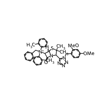 COc1ccc(Cn2nnnc2C2N3C(=O)C([N+](Cc4ccccc4)(c4ccccc4C)c4ccccc4C)[C@@H]3SC2(C)C)c(OC)c1